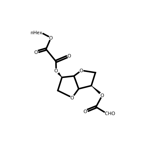 [CH2]CCCCCOC(=O)C(=O)O[C@@H]1COC2C1OC[C@H]2OC(=O)C=O